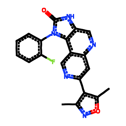 Cc1noc(C)c1-c1cc2ncc3[nH]c(=O)n(-c4ccccc4F)c3c2cn1